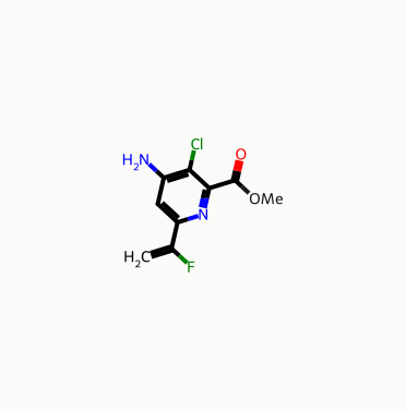 C=C(F)c1cc(N)c(Cl)c(C(=O)OC)n1